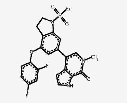 CCS(=O)(=O)N1CCc2c(Oc3ccc(F)cc3F)cc(-c3cn(C)c(=O)c4[nH]ccc34)cc21